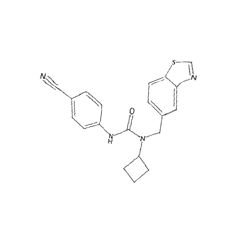 N#Cc1ccc(NC(=O)N(Cc2ccc3scnc3c2)C2CCC2)cc1